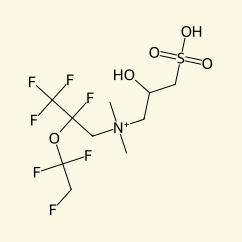 C[N+](C)(CC(O)CS(=O)(=O)O)CC(F)(OC(F)(F)CF)C(F)(F)F